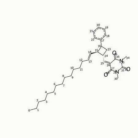 CCCCCCCCCCCCC/C=C/[C@H]1C(c2ccccc2)C[C@@H]1C=C1C(=O)N(C)C(=O)N(C)C1=O